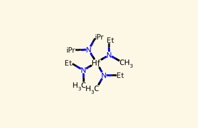 CC[N](C)[Hf]([N](C)CC)([N](C)CC)[N](C(C)C)C(C)C